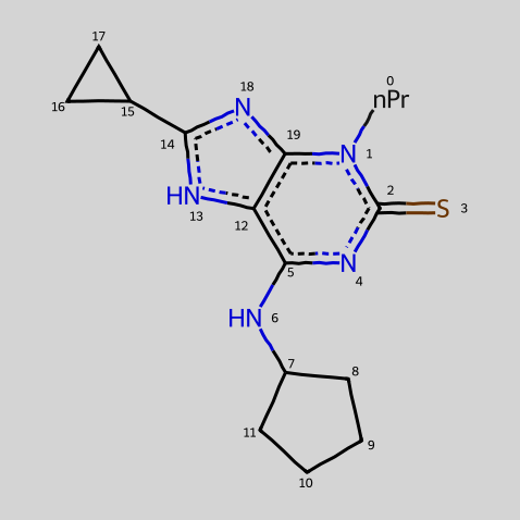 CCCn1c(=S)nc(NC2CCCC2)c2[nH]c(C3CC3)nc21